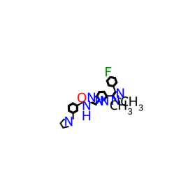 Cc1nc(-c2ccc(F)cc2)c(-c2ccc3nc(NC(=O)c4cccc(CN5CCCC5)c4)cn3n2)n1C